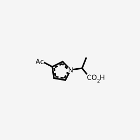 CC(=O)c1ccn(C(C)C(=O)O)c1